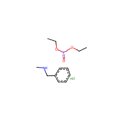 CCO[PH](=O)OCC.CNCc1ccccc1.Cl